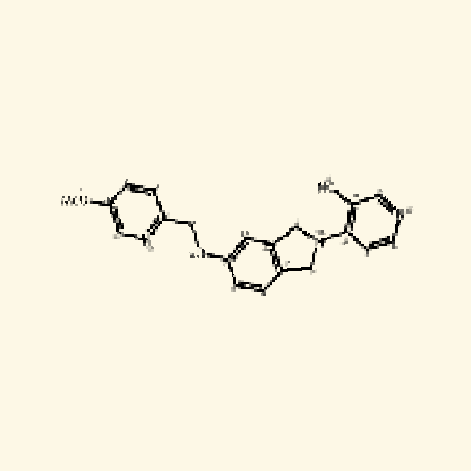 COc1ccc(COc2ccc3c(c2)CN(c2ccncc2C#N)C3)nc1